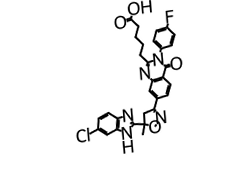 CC1(c2nc3ccc(Cl)cc3[nH]2)CC(c2ccc3c(=O)n(-c4ccc(F)cc4)c(CCCCC(=O)O)nc3c2)=NO1